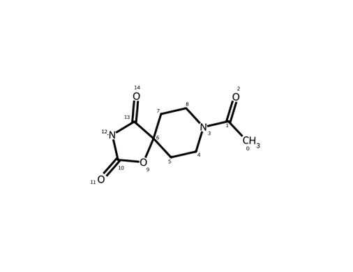 CC(=O)N1CCC2(CC1)OC(=O)[N]C2=O